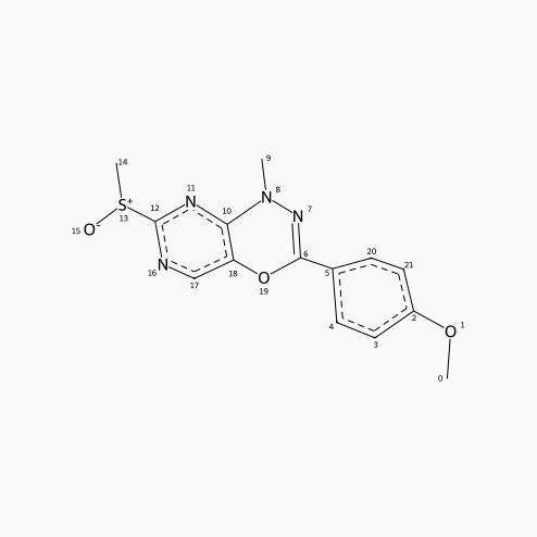 COc1ccc(C2=NN(C)c3nc([S+](C)[O-])ncc3O2)cc1